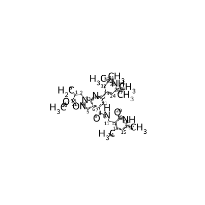 C=C(Cn1ncc2c(C(=O)NCc3c(C)cc(C)[nH]c3=O)cc(C3=CC(C)(C)NC(C)(C)C3)nc21)C(=O)OC